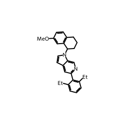 CCc1cccc(CC)c1-c1cc2ccn(C3CCCc4ccc(OC)cc43)c2cn1